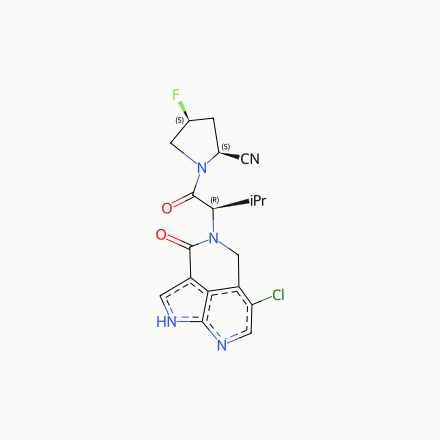 CC(C)[C@H](C(=O)N1C[C@@H](F)C[C@H]1C#N)N1Cc2c(Cl)cnc3[nH]cc(c23)C1=O